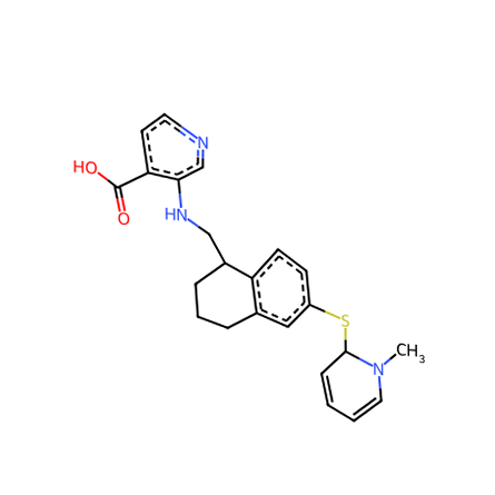 CN1C=CC=CC1Sc1ccc2c(c1)CCCC2CNc1cnccc1C(=O)O